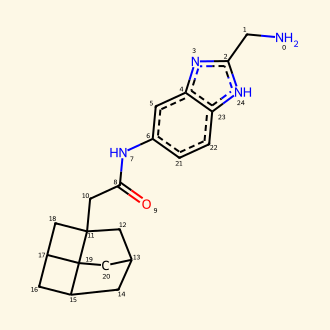 NCc1nc2cc(NC(=O)CC34CC5CC6CC(C3)C64C5)ccc2[nH]1